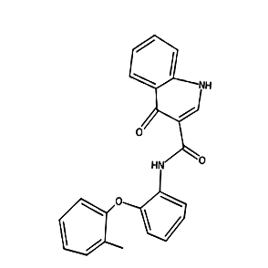 Cc1ccccc1Oc1ccccc1NC(=O)c1c[nH]c2ccccc2c1=O